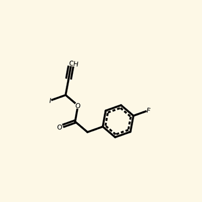 C#CC(I)OC(=O)Cc1ccc(F)cc1